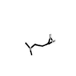 CN(C)CCC1NN1